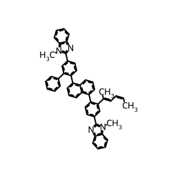 C/C=C\C=C(/C)c1cc(-c2nc3ccccc3n2C)ccc1-c1cccc2c(-c3ccc(-c4nc5ccccc5n4C)cc3-c3ccccc3)cccc12